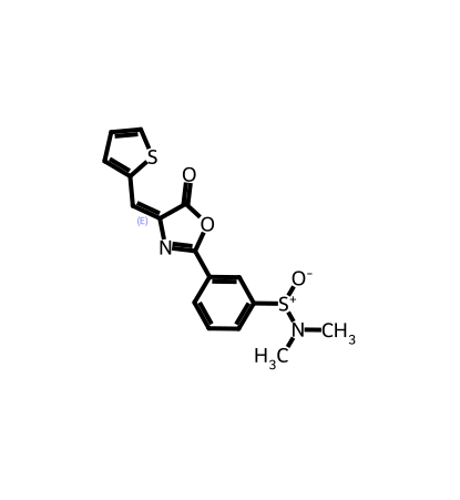 CN(C)[S+]([O-])c1cccc(C2=N/C(=C/c3cccs3)C(=O)O2)c1